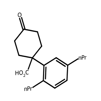 CCCc1ccc(CCC)c(C2(C(=O)O)CCC(=O)CC2)c1